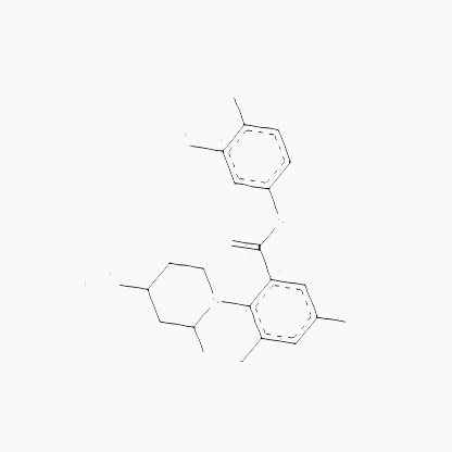 CC1CC(C(=O)O)CCN1c1c(Cl)cc(C(F)(F)F)cc1C(=O)Nc1ccc(Cl)c(Cl)c1